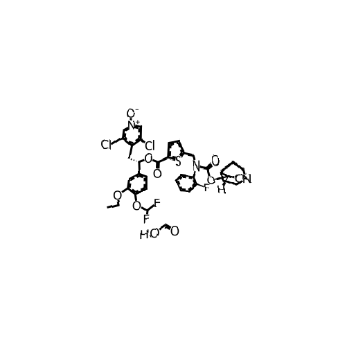 CCOc1cc([C@H](Cc2c(Cl)c[n+]([O-])cc2Cl)OC(=O)c2ccc(CN(C(=O)O[C@H]3CN4CCC3CC4)c3ccccc3F)s2)ccc1OC(F)F.O=CO